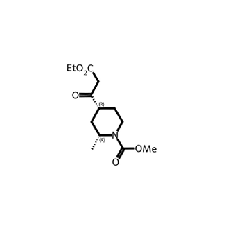 CCOC(=O)CC(=O)[C@@H]1CCN(C(=O)OC)[C@H](C)C1